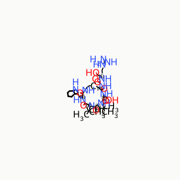 CC(C)C[C@@H]1NC(=O)[C@H](CO)NC(=O)[C@H](NC(=O)N[C@@H](CCCNC(=N)N)C(=O)O)CCCCNC(=O)[C@H](Cc2c[nH]c3ccccc23)NC(=O)[C@H](CC(C)C)N(C)C1=O